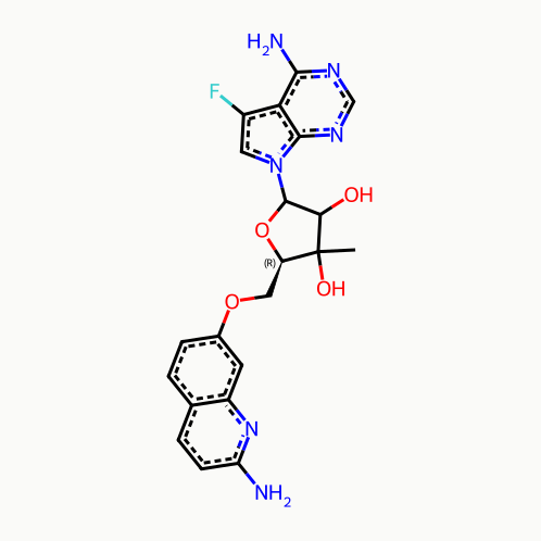 CC1(O)C(O)C(n2cc(F)c3c(N)ncnc32)O[C@@H]1COc1ccc2ccc(N)nc2c1